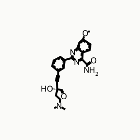 COc1ccc2c(C(N)=O)nc(-c3cccc(C#C[C@@](O)(C=O)CCN(C)C)c3)nc2c1